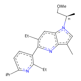 CCc1cc2c(nc1-c1ccc(C(C)C)nc1CC)c(C)cn2[C@H](C)COC